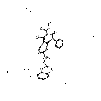 CCOC(=O)c1c(Cl)c2cnc(NC[C@H]3COc4ccccc4O3)nc2n(-c2ccccc2)c1=O